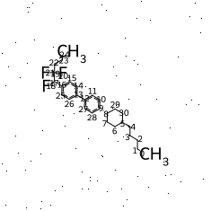 CCCCC[C@H]1CC[C@H](c2ccc(-c3ccc(C(F)C(F)(F)CCC)cc3)cc2)CC1